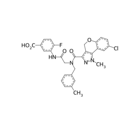 Cc1cccc(CN(CC(=O)Nc2cc(C(=O)O)ccc2F)C(=O)c2nn(C)c3c2COc2ccc(Cl)cc2-3)c1